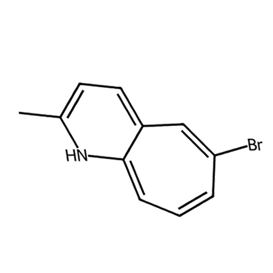 CC1=CC=C2C=C(Br)C=CC=C2N1